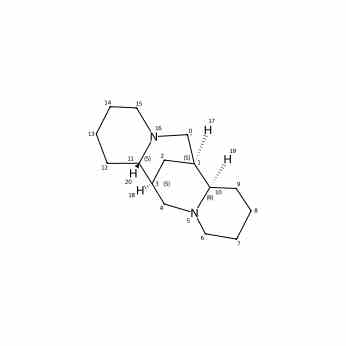 [CH]1[C@@H]2C[C@@H](CN3CCCC[C@H]23)[C@@H]2CCCCN12